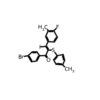 Cc1ccc(SC(C(=O)c2ccc(Br)cc2)=C(I)c2ccc(F)c(C)c2)cc1